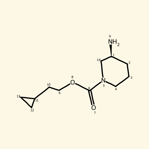 N[C@H]1CCCN(C(=O)OCCC2CC2)C1